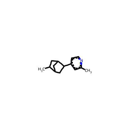 Cc1cc(C2CC3CC2CC3C)ccn1